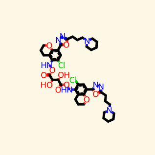 O=C(ONc1c(Cl)cc(-c2nnc(CCCN3CCCCC3)o2)c2c1CCCO2)C(O)C(O)C(=O)ONc1c(Cl)cc(-c2nnc(CCCN3CCCCC3)o2)c2c1CCCO2